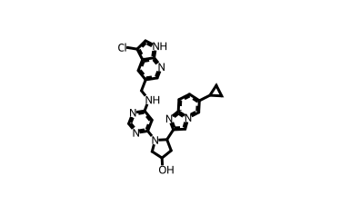 OC1CC(c2cn3cc(C4CC4)ccc3n2)N(c2cc(NCc3cnc4[nH]cc(Cl)c4c3)ncn2)C1